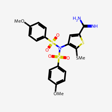 COc1ccc(S(=O)(=O)N(c2cc(C(=N)N)sc2SC)S(=O)(=O)c2ccc(OC)cc2)cc1